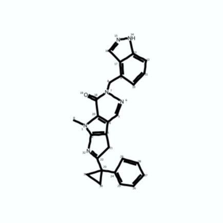 Cn1c2c(c3cnn(Cc4cccc5[nH]ncc45)c(=O)c31)CC(C1(c3ccccc3)CC1)=N2